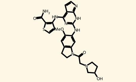 COc1cc2c(cc1Nc1nc(Nc3ccsc3C(N)=O)c3ccnc-3[nH]1)N(C(=O)CN1CCC(O)C1)CC2